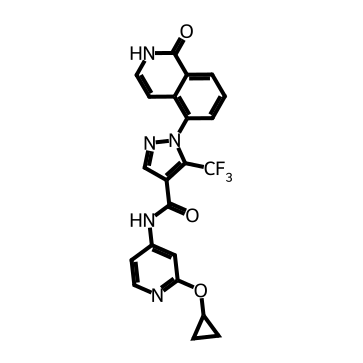 O=C(Nc1ccnc(OC2CC2)c1)c1cnn(-c2cccc3c(=O)[nH]ccc23)c1C(F)(F)F